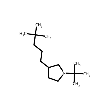 CC(C)(C)CCCC1CCN(C(C)(C)C)C1